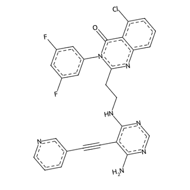 Nc1ncnc(NCCc2nc3cccc(Cl)c3c(=O)n2-c2cc(F)cc(F)c2)c1C#Cc1cccnc1